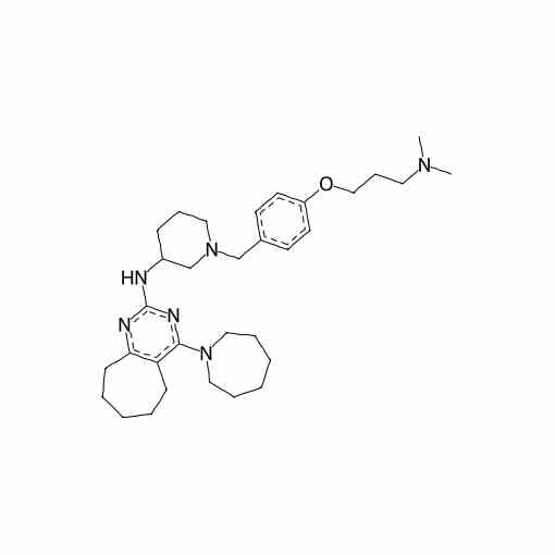 CN(C)CCCOc1ccc(CN2CCCC(Nc3nc4c(c(N5CCCCCC5)n3)CCCCC4)C2)cc1